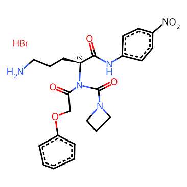 Br.NCCC[C@@H](C(=O)Nc1ccc([N+](=O)[O-])cc1)N(C(=O)COc1ccccc1)C(=O)N1CCC1